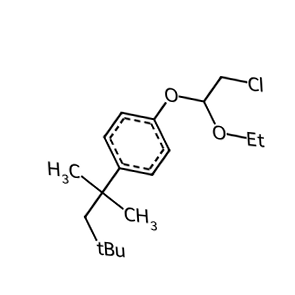 CCOC(CCl)Oc1ccc(C(C)(C)CC(C)(C)C)cc1